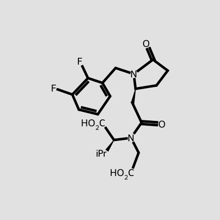 CC(C)[C@@H](C(=O)O)N(CC(=O)O)C(=O)C[C@@H]1CCC(=O)N1Cc1cccc(F)c1F